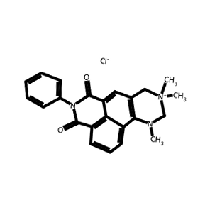 CN1C[N+](C)(C)Cc2cc3c4c(cccc4c21)C(=O)N(c1ccccc1)C3=O.[Cl-]